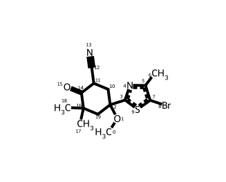 COC1(c2nc(C)c(Br)s2)CC(C#N)C(=O)C(C)(C)C1